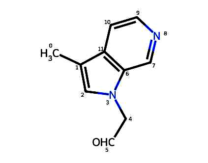 Cc1cn(CC=O)c2cnccc12